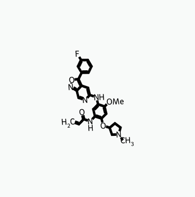 C=CC(=O)Nc1cc(Nc2cc3c(-c4cccc(F)c4)onc3cn2)c(OC)cc1OC1CCN(C)C1